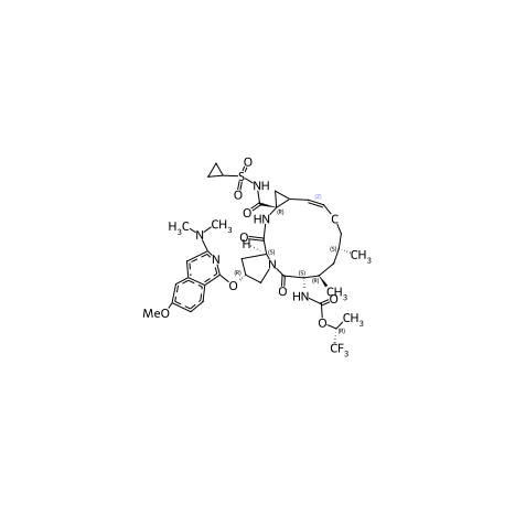 COc1ccc2c(O[C@@H]3C[C@H]4C(=O)N[C@]5(C(=O)NS(=O)(=O)C6CC6)CC5/C=C\CC[C@H](C)C[C@@H](C)[C@H](NC(=O)O[C@H](C)C(F)(F)F)C(=O)N4C3)nc(N(C)C)cc2c1